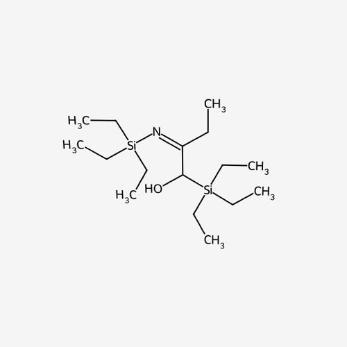 CCC(=N[Si](CC)(CC)CC)C(O)[Si](CC)(CC)CC